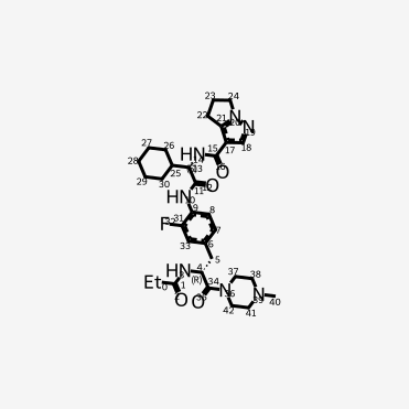 CCC(=O)N[C@H](Cc1ccc(NC(=O)[C@@H](NC(=O)c2cnn3c2CCC3)C2CCCCC2)c(F)c1)C(=O)N1CCN(C)CC1